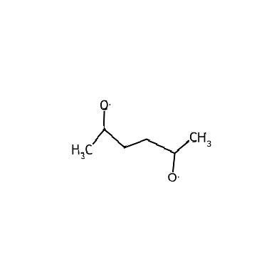 CC([O])CCC(C)[O]